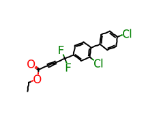 CCOC(=O)C#CC(F)(F)c1ccc(-c2ccc(Cl)cc2)c(Cl)c1